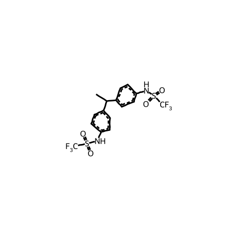 CC(c1ccc(NS(=O)(=O)C(F)(F)F)cc1)c1ccc(NS(=O)(=O)C(F)(F)F)cc1